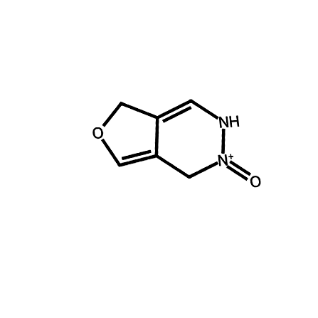 O=[N+]1CC2=COCC2=CN1